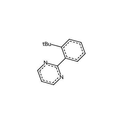 CC(C)(C)c1ccccc1-c1ncccn1